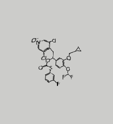 O=C(OC(Cc1c(Cl)c[n+]([O-])cc1Cl)c1ccc(OC(F)F)c(OCC2CC2)c1)Sc1cccc(F)c1